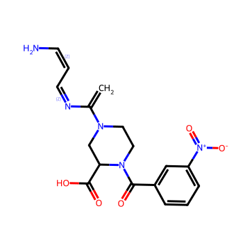 C=C(/N=C\C=C/N)N1CCN(C(=O)c2cccc([N+](=O)[O-])c2)C(C(=O)O)C1